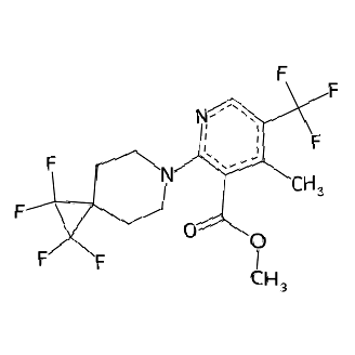 COC(=O)c1c(N2CCC3(CC2)C(F)(F)C3(F)F)ncc(C(F)(F)F)c1C